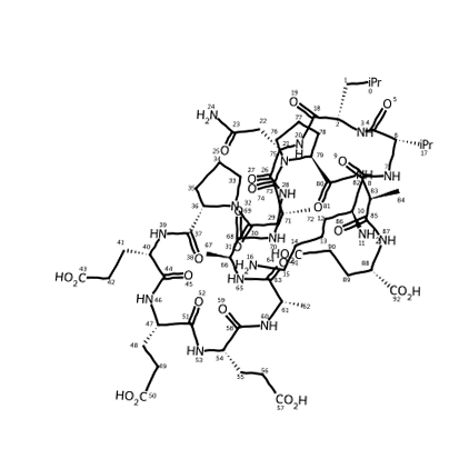 CC(C)C[C@H](NC(=O)[C@@H](NC(=O)[C@@H](N)CCCCN)C(C)C)C(=O)N[C@@H](CC(N)=O)C(=O)NCC(=O)N1CCC[C@H]1C(=O)N[C@@H](CCC(=O)O)C(=O)N[C@@H](CCC(=O)O)C(=O)N[C@@H](CCC(=O)O)C(=O)N[C@@H](C)C(=O)N[C@@H](C)C(=O)N[C@@H](C)C(=O)N1CCC[C@H]1C(=O)N[C@@H](C)C(=O)N[C@@H](CCC(=O)O)C(=O)O